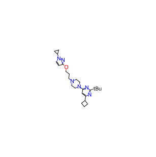 CC(C)(C)c1nc(C2CCC2)cc(N2CCN(CCCOc3ccn(C4CC4)n3)CC2)n1